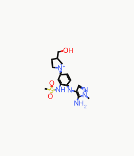 Cn1ncc(N=C2C=CC(=[N+]3CCC(CO)C3)C=C2NS(C)(=O)=O)c1N